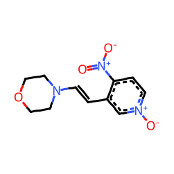 O=[N+]([O-])c1cc[n+]([O-])cc1C=CN1CCOCC1